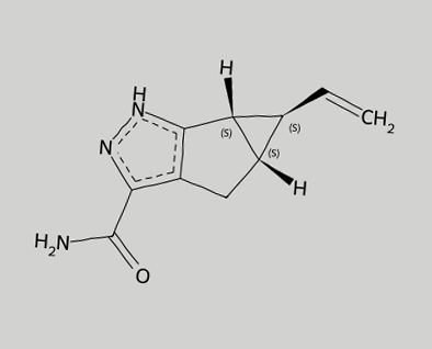 C=C[C@H]1[C@@H]2Cc3c(C(N)=O)n[nH]c3[C@H]12